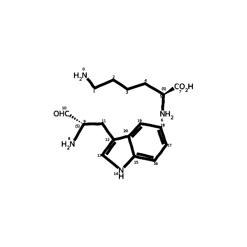 NCCCC[C@H](N)C(=O)O.N[C@H](C=O)Cc1c[nH]c2ccccc12